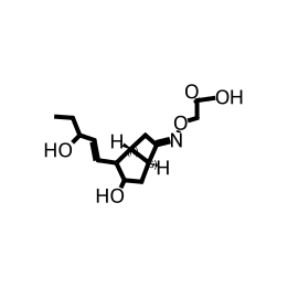 CCC(O)C=CC1C(O)C[C@@H]2C(=NOCC(=O)O)C[C@@H]12